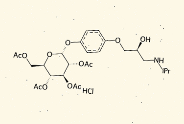 CC(=O)OC[C@H]1O[C@H](Oc2ccc(OC[C@@H](O)CNC(C)C)cc2)[C@H](OC(C)=O)[C@@H](OC(C)=O)[C@@H]1OC(C)=O.Cl